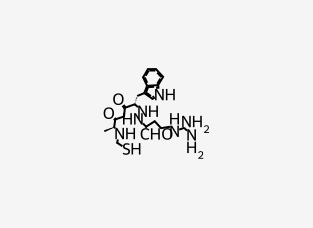 C[C@H](NCS)C(=O)CC(=O)[C@H](Cc1c[nH]c2ccccc12)NN[C@H](C=O)CCCNC(N)N